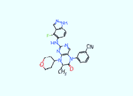 C[C@@H]1C(=O)N(c2cccc(C#N)c2)c2cnc(Nc3ccc4[nH]ncc4c3F)nc2N1C1CCOCC1